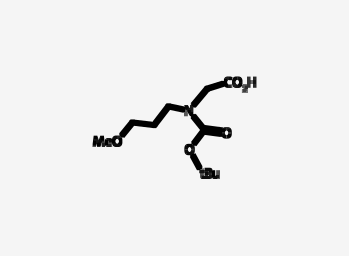 COCCCN(CC(=O)O)C(=O)OC(C)(C)C